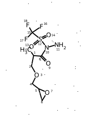 CC(COCC1CO1)C(=O)N(N)S(=O)(=O)C(F)(F)F